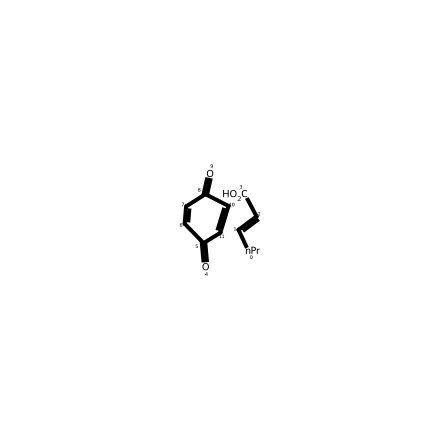 CCCC=CC(=O)O.O=C1C=CC(=O)C=C1